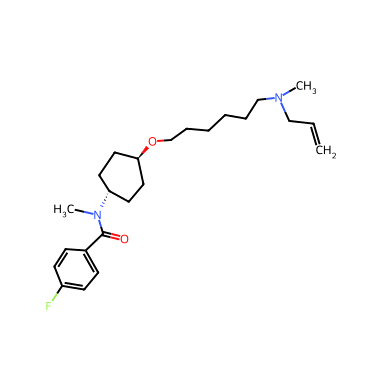 C=CCN(C)CCCCCCO[C@H]1CC[C@H](N(C)C(=O)c2ccc(F)cc2)CC1